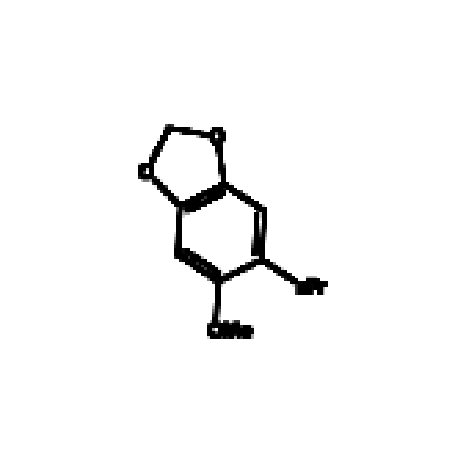 CCCc1cc2c(cc1OC)OCO2